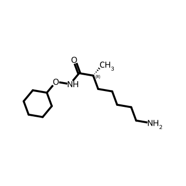 C[C@H](CCCCCN)C(=O)NOC1CCCCC1